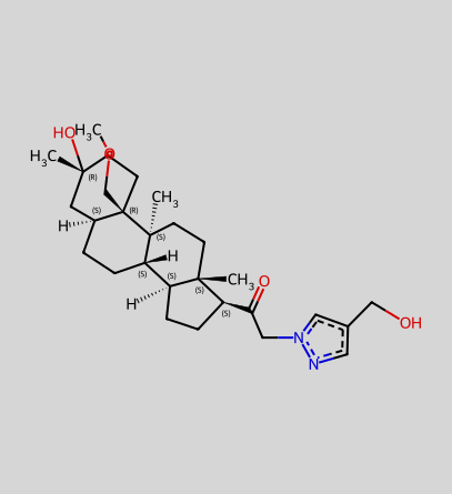 COC[C@]12CC[C@@](C)(O)C[C@@H]1CC[C@H]1[C@@H]3CC[C@H](C(=O)Cn4cc(CO)cn4)[C@@]3(C)CC[C@@]12C